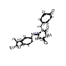 CCc1oc2ccc(/N=c3\[nH]c(=O)[nH]c(=O)n3Cc3ccc(Cl)cc3)cc2c1C